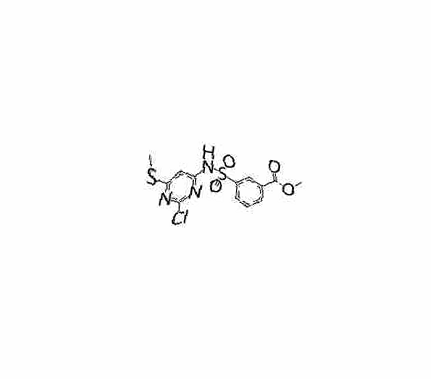 COC(=O)c1cccc(S(=O)(=O)Nc2cc(SC)nc(Cl)n2)c1